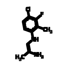 C/C(N)=C/Nc1ccc(Cl)c(F)c1C